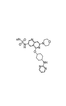 CCCS(=O)(=O)Nc1cnc2cc(N3CCOCC3)nc(OC3CCC(Nc4ncccn4)CC3)c2c1